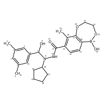 Cc1cc(C)cc(C(O)N(NC(=O)c2ccc3c(c2C)OCCOB3O)C2CCCC2)c1